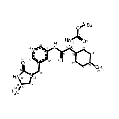 CCCCOC(=O)N[C@@H](C(=O)Nc1cncc(CN2C[C@@H](C(F)(F)F)NC2=O)c1)C1CCC(C)CC1